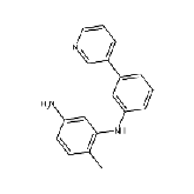 Cc1ccc(N)cc1Nc1cccc(-c2cccnc2)c1